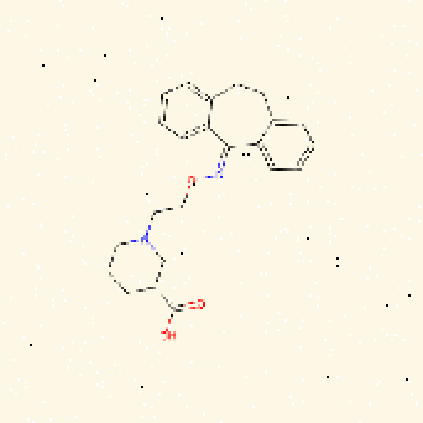 O=C(O)[C@@H]1CCCN(CCON=C2c3ccccc3CCc3ccccc32)C1